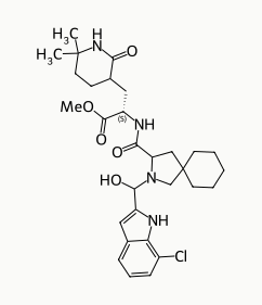 COC(=O)[C@H](CC1CCC(C)(C)NC1=O)NC(=O)C1CC2(CCCCC2)CN1C(O)c1cc2cccc(Cl)c2[nH]1